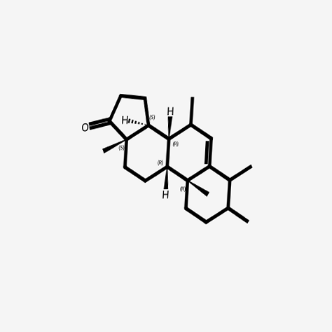 CC1CC[C@@]2(C)C(=CC(C)[C@@H]3[C@H]2CC[C@]2(C)C(=O)CC[C@@H]32)C1C